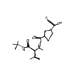 CC(C)C(C(=O)OC(C)(C)C)N(C)C(=O)C1CCN(C(=O)O)C1